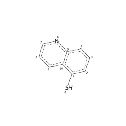 Sc1cccc2n[c]ccc12